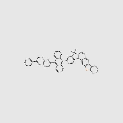 CC1(C)c2cc(-c3c4ccccc4c(-c4ccc5c(c4)CCC(c4ccccc4)=C5)c4ccccc34)ccc2-c2c1ccc1cc3c4c(sc3cc21)CCC=C4